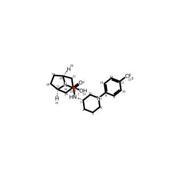 O=C(N[C@H]1CCCN(c2ccc(C(F)(F)F)cc2)C1)N1[C@@H]2CC[C@H]1C[C@@H](O)C2